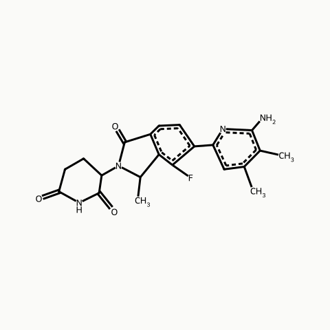 Cc1cc(-c2ccc3c(c2F)C(C)N(C2CCC(=O)NC2=O)C3=O)nc(N)c1C